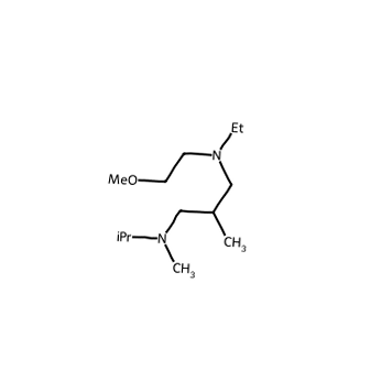 CCN(CCOC)CC(C)CN(C)C(C)C